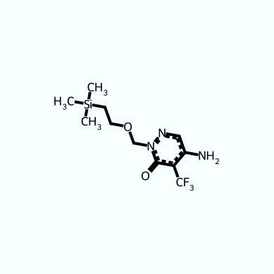 C[Si](C)(C)CCOCn1ncc(N)c(C(F)(F)F)c1=O